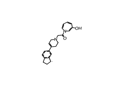 O=C(CN1CC=C(c2ccc3c(c2)[CH]CC3)CC1)N1C=CC=CC(O)=C1